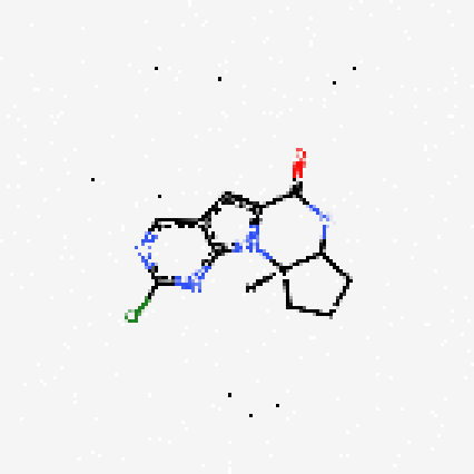 O=C1NC2CCC[C@@H]2n2c1cc1cnc(Cl)nc12